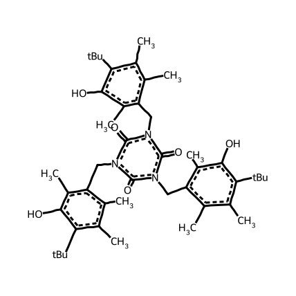 Cc1c(C)c(C(C)(C)C)c(O)c(C)c1Cn1c(=O)n(Cc2c(C)c(C)c(C(C)(C)C)c(O)c2C)c(=O)n(Cc2c(C)c(C)c(C(C)(C)C)c(O)c2C)c1=O